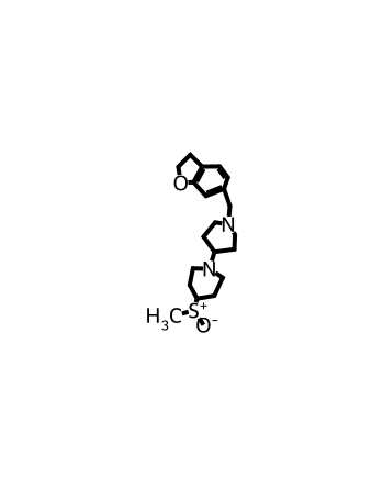 C[S+]([O-])C1CCN(C2CCN(Cc3ccc4c(c3)OCC4)CC2)CC1